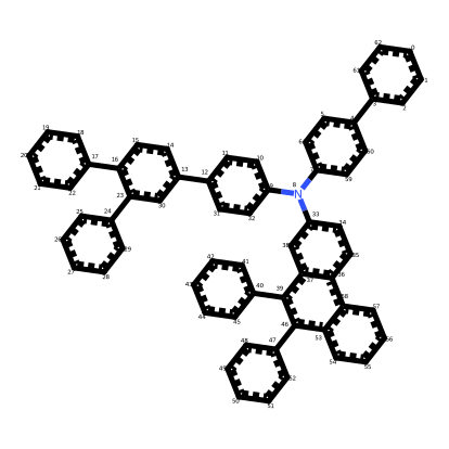 c1ccc(-c2ccc(N(c3ccc(-c4ccc(-c5ccccc5)c(-c5ccccc5)c4)cc3)c3ccc4c(c3)c(-c3ccccc3)c(-c3ccccc3)c3ccccc34)cc2)cc1